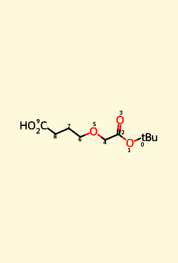 CC(C)(C)OC(=O)COCCCC(=O)O